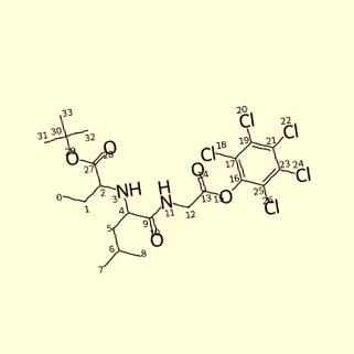 CCC(NC(CC(C)C)C(=O)NCC(=O)Oc1c(Cl)c(Cl)c(Cl)c(Cl)c1Cl)C(=O)OC(C)(C)C